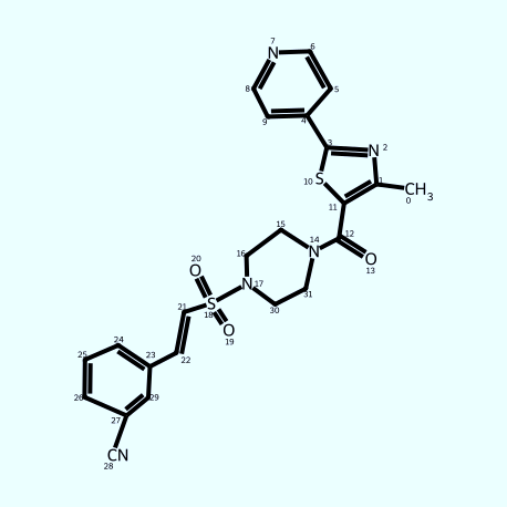 Cc1nc(-c2ccncc2)sc1C(=O)N1CCN(S(=O)(=O)/C=C/c2cccc(C#N)c2)CC1